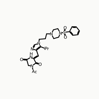 CC(=O)N1CC(=O)N/C(=C\c2ncn(CCCN3CCN(S(=O)(=O)c4ccccc4)CC3)c2C(C)C)C1=O